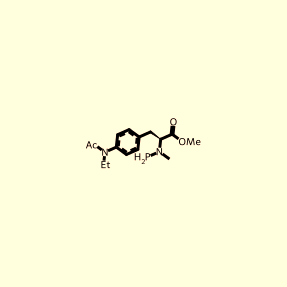 CCN(C(C)=O)c1ccc(C[C@@H](C(=O)OC)N(C)P)cc1